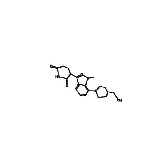 Cn1nc(C2CCC(=O)NC2=O)c2cccc(N3CCC(CO)CC3)c21